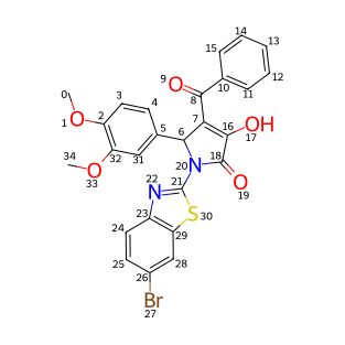 COc1ccc(C2C(C(=O)c3ccccc3)=C(O)C(=O)N2c2nc3ccc(Br)cc3s2)cc1OC